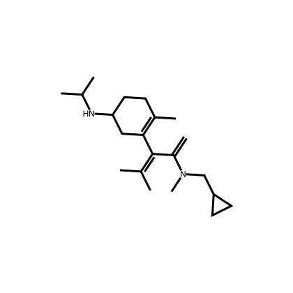 C=C(C(=C(C)C)C1=C(C)CCC(NC(C)C)C1)N(C)CC1CC1